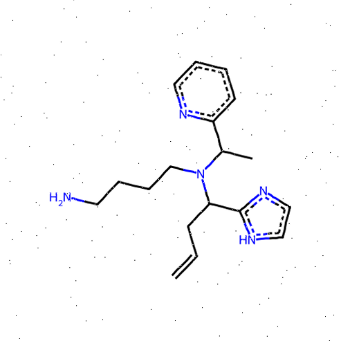 C=CCC(c1ncc[nH]1)N(CCCCN)C(C)c1ccccn1